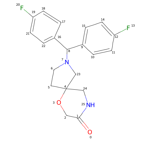 O=C1COC2(CCN(C(c3ccc(F)cc3)c3ccc(F)cc3)C2)CN1